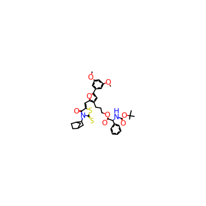 COc1cc(OC)cc(-c2cc(CCCOC(=O)[C@@H](NC(=O)OC(C)(C)C)c3ccccc3)c(/C=C3\SC(=S)N(C4CC5CCC4C5)C3=O)o2)c1